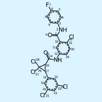 O=C(Nc1ccc(F)cc1)c1cc(NC(=O)C2C(c3cc(Cl)cc(Cl)c3)C2(Cl)Cl)ccc1Cl